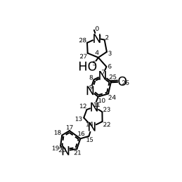 CN1CCC(O)(Cn2cnc(N3CCN(Cc4cccnc4)CC3)cc2=O)CC1